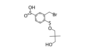 CC(C)(CO)COSc1ccc(S(=O)O)cc1CBr